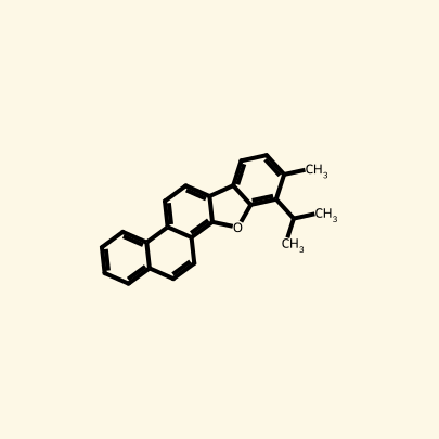 Cc1ccc2c(oc3c2ccc2c4ccccc4ccc23)c1C(C)C